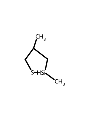 CC1CS[SiH](C)C1